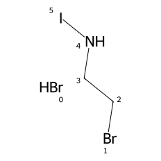 Br.BrCCNI